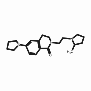 CC1CCCN1CCN1CCc2cc(N3CCCC3)ccc2C1=O